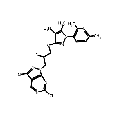 Cc1ccc(-n2nc(OCC(F)Cn3nc(Cl)c4cnc(Cl)nc43)c([N+](=O)[O-])c2C)c(C)n1